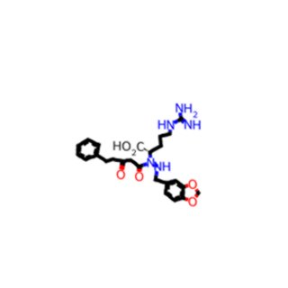 N=C(N)NCCC[C@@H](C(=O)O)N(NCc1ccc2c(c1)OCO2)C(=O)CC(=O)CCc1ccccc1